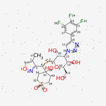 Cc1conc1[C@@H](S[C@@H]1O[C@H](CO)[C@H](O)[C@H](n2cc(-c3cc(F)c(F)c(F)c3)nn2)[C@H]1O)C1(O)CCS(=O)(=O)CC1